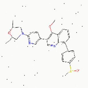 COc1c(-c2ccc(N3CC(C)OC(C)C3)nc2)cnc2c(-c3ccc([S+](C)[O-])cc3)cccc12